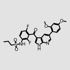 CCCS(=O)(=O)Nc1ccc(F)c(C(=O)c2c[nH]c3ncc(-c4ccc(OC)cc4OC)cc23)c1F